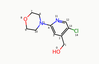 OCc1cc(N2CCOCC2)ncc1Cl